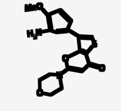 COc1ccc(-c2csc3c(=O)cc(N4CCOCC4)oc23)cc1N